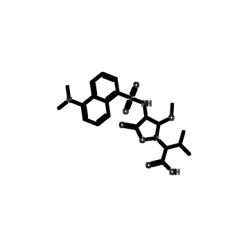 COC1C(NS(=O)(=O)c2cccc3c(N(C)C)cccc23)C(=O)ON1C(C(=O)O)C(C)C